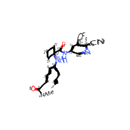 C=C/C=C(\C=C/CC(=O)NC)NC1(C(=O)Nc2cnc(C#N)c(C(F)(F)F)c2)CCC1